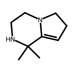 CC1(C)NCCN2CCC=C21